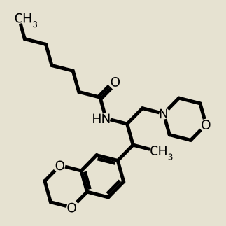 CCCCCCC(=O)NC(CN1CCOCC1)C(C)c1ccc2c(c1)OCCO2